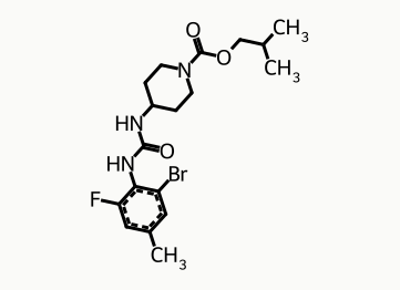 Cc1cc(F)c(NC(=O)NC2CCN(C(=O)OCC(C)C)CC2)c(Br)c1